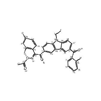 CCn1c2ccc(C(=O)/C(=N/OC(C)=O)c3ccc(C)cc3C)cc2c2cc(C(=O)c3ccccc3C)ccc21